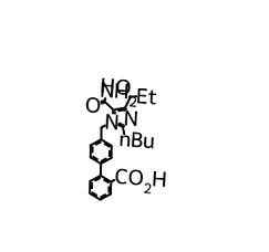 CCCCc1nc(C(O)CC)c(C(N)=O)n1Cc1ccc(-c2ccccc2C(=O)O)cc1